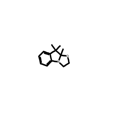 CC1(C)c2ccccc2N2CCOC21C